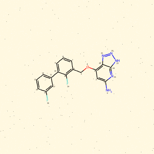 Nc1cc(OCc2cccc(-c3cccc(F)c3)c2F)c2nn[nH]c2n1